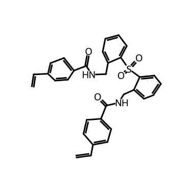 C=Cc1ccc(C(=O)NCc2ccccc2S(=O)(=O)c2ccccc2CNC(=O)c2ccc(C=C)cc2)cc1